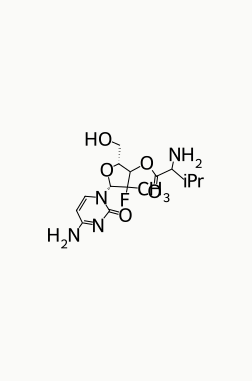 CC(C)C(N)C(=O)OC1[C@@H](CO)O[C@@H](n2ccc(N)nc2=O)C1(C)F